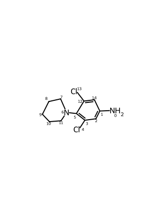 Nc1cc(Cl)c(N2CCCCC2)c(Cl)c1